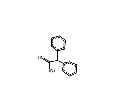 CC(C)(C)C(=N)C(c1ccccc1)c1ccccc1